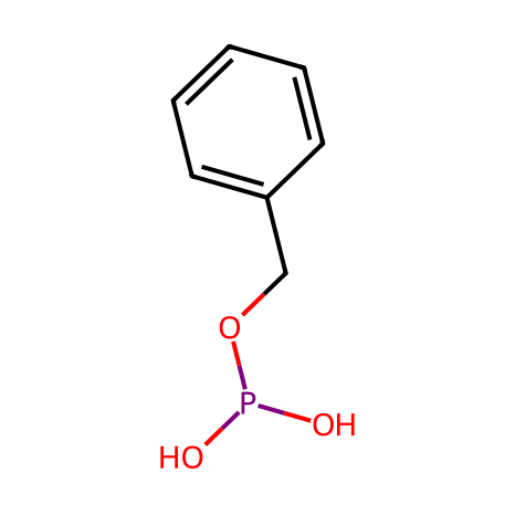 OP(O)OCc1ccccc1